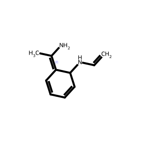 C=CNC1C=CC=C/C1=C(\C)N